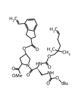 C=CCCC(C)(C)COC(=O)N[C@@H](CNC(=O)OC(C)(C)C)C(=O)N1CC(OC(=O)C2Cc3cccc(C=C)c3C2)CC1C(=O)OC